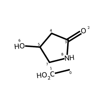 CC(=O)O.O=C1CC(O)CN1